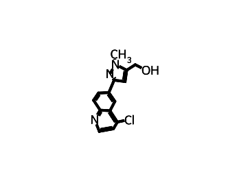 Cn1nc(-c2ccc3nccc(Cl)c3c2)cc1CO